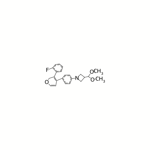 COC(OC)C1CN(c2ccc(C3=C(c4ccccc4F)COC=C3)cc2)C1